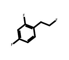 FC[CH]c1ccc(F)cc1F